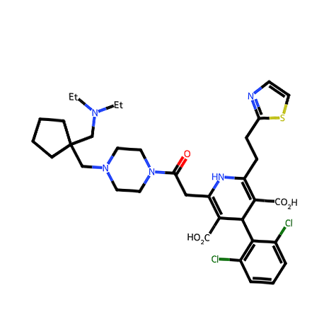 CCN(CC)CC1(CN2CCN(C(=O)CC3=C(C(=O)O)C(c4c(Cl)cccc4Cl)C(C(=O)O)=C(CCc4nccs4)N3)CC2)CCCC1